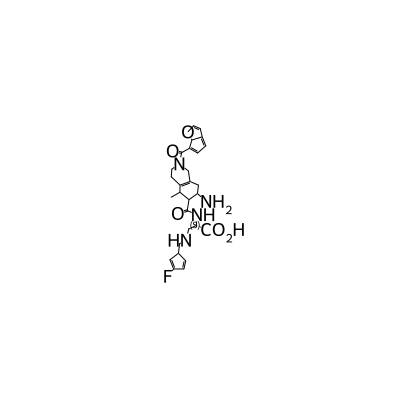 CC1C2=C(CC(N)C1C(=O)N[C@@H](CNCC1C=CC(F)=C1)C(=O)O)CN(C(=O)C1=CC=C3C=COC31)CC2